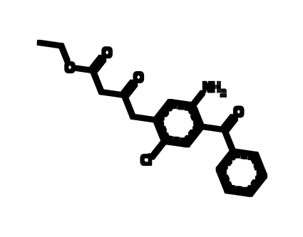 CCOC(=O)CC(=O)Cc1cc(N)c(C(=O)c2ccccc2)cc1Cl